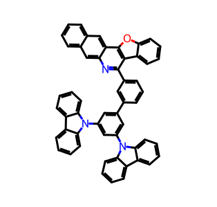 c1cc(-c2cc(-n3c4ccccc4c4ccccc43)cc(-n3c4ccccc4c4ccccc43)c2)cc(-c2nc3cc4ccccc4cc3c3oc4ccccc4c23)c1